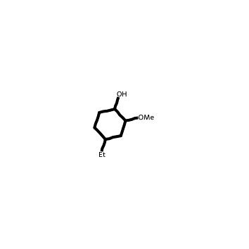 CCC1CCC(O)C(OC)C1